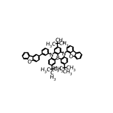 CC(C)(C)c1ccc2c(c1)B1c3cc(C(C)(C)C)ccc3N(c3cccc4c3oc3ccccc34)c3cc(C(C)(C)C)cc(c31)N2c1cccc(-c2ccc3oc4ccccc4c3c2)c1